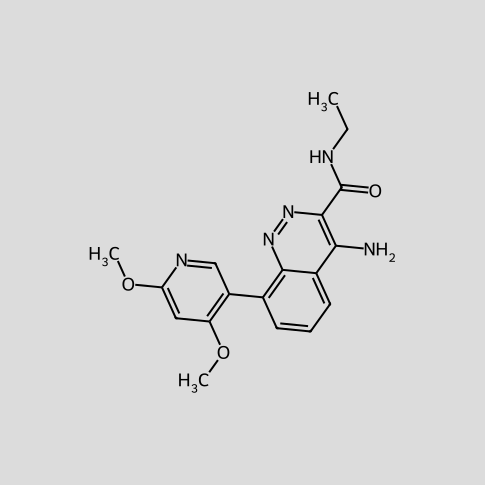 CCNC(=O)c1nnc2c(-c3cnc(OC)cc3OC)cccc2c1N